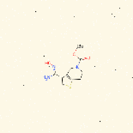 CC(C)(C)OC(=O)N1CCc2scc(C(N)=NO)c2C1